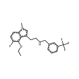 CCOc1c(F)ccc2c1c(CCNCc1cccc(C(F)(F)F)c1)cn2C